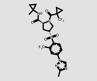 Cc1ncn(-c2ccc(S(=O)(=O)[C@@H]3C[C@@H](C(=O)NC4(C)CC4)N(C(=O)C4(C(F)(F)F)CC4)C3)c(C(F)(F)F)c2)n1